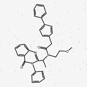 COCCN(C(=O)Cc1ccc(-c2ccccc2)cc1)C(C)c1nc2ccccc2c(=O)n1-c1ccccc1